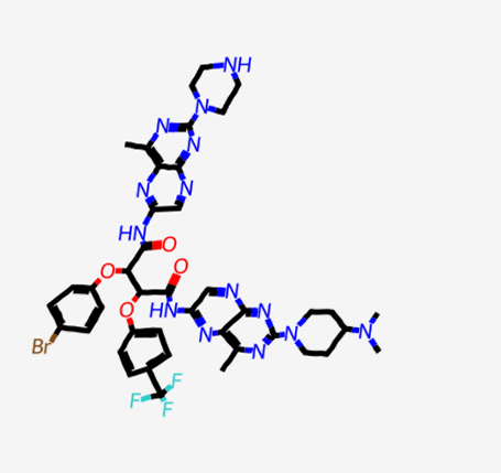 Cc1nc(N2CCNCC2)nc2ncc(NC(=O)C(Oc3ccc(Br)cc3)C(Oc3ccc(C(F)(F)F)cc3)C(=O)Nc3cnc4nc(N5CCC(N(C)C)CC5)nc(C)c4n3)nc12